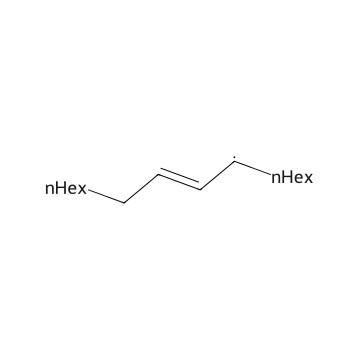 CCCCCC[CH]/C=C/CCCCCCC